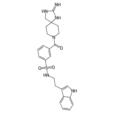 N=C1NCC2(CCN(C(=O)c3cccc(S(=O)(=O)NCCc4c[nH]c5ccccc45)c3)CC2)N1